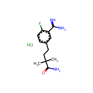 CC(C)(CCc1ccc(F)c(C(=N)N)c1)C(N)=O.Cl